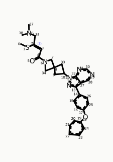 CS/C(=C\C(=O)N1CC2(CC(n3nc(-c4ccc(Oc5ccccc5)cc4)c4cncnc43)C2)C1)CN(C)C